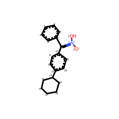 [O-][N+](O)=C(c1ccccc1)c1ccc(C2CCCCC2)cc1